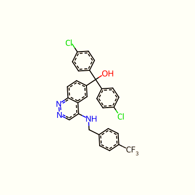 OC(c1ccc(Cl)cc1)(c1ccc(Cl)cc1)c1ccc2nncc(NCc3ccc(C(F)(F)F)cc3)c2c1